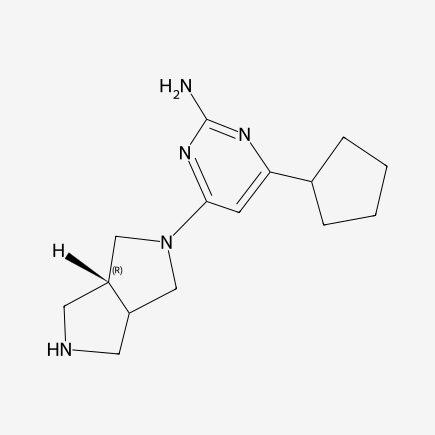 Nc1nc(C2CCCC2)cc(N2CC3CNC[C@@H]3C2)n1